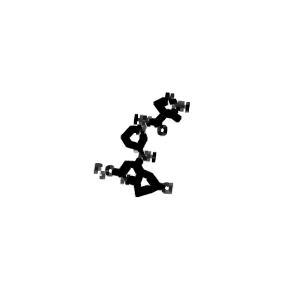 Cc1[nH]ncc1C(=O)NN1CCC[C@H](Nc2cc(C(F)(F)F)nc3ccc(Cl)cc23)C1